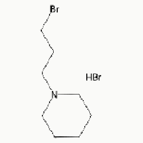 Br.BrCCCN1CCCCC1